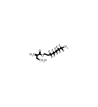 C=C(CC(=O)O)C(=O)OCCC(F)(F)C(F)(F)C(F)(F)C(F)(F)C(F)(F)C(F)(F)F